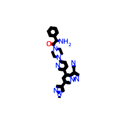 Cn1cc(-c2cc(-c3ccc(N4CCN(C(=O)C(N)c5ccccc5)CC4)nc3)c3c(C#N)cnn3c2)cn1